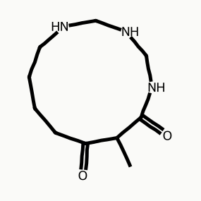 CC1C(=O)CCCCNCNCNC1=O